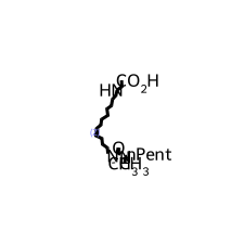 CCCCCN(C)C(=O)N(C)CCCC/C=C\CCCCCCCNCC(=O)O